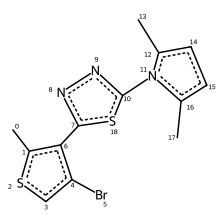 Cc1scc(Br)c1-c1nnc(-n2c(C)ccc2C)s1